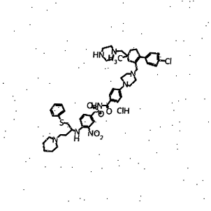 CC1(CN2CCNCC2)CCC(c2ccc(Cl)cc2)=C(CN2CCN(c3ccc(C(=O)NS(=O)(=O)c4ccc(NC(CCN5CCCCC5)CSc5ccccc5)c([N+](=O)[O-])c4)cc3)CC2)C1.Cl